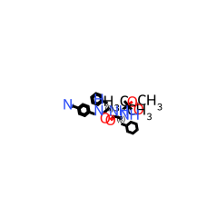 CC(=O)OC(C)(C)CN[C@H](CC1CCCCC1)C(=O)N[C@@H](Cc1ccccc1)C(=O)NCc1ccc(C#N)cc1